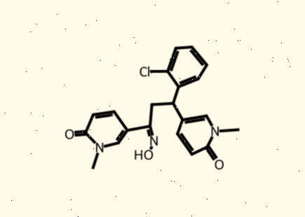 Cn1cc(C(CC(c2ccc(=O)n(C)c2)c2ccccc2Cl)=NO)ccc1=O